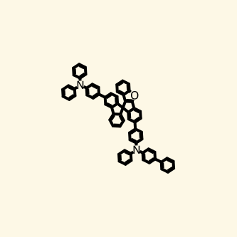 c1ccc(-c2ccc(N(c3ccccc3)c3ccc(-c4ccc5c(c4)C4(c6ccccc6-c6cc(-c7ccc(N(c8ccccc8)c8ccccc8)cc7)ccc64)c4c-5oc5ccccc45)cc3)cc2)cc1